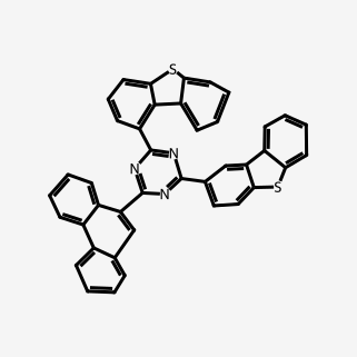 c1ccc2c(c1)cc(-c1nc(-c3ccc4sc5ccccc5c4c3)nc(-c3cccc4sc5ccccc5c34)n1)c1ccccc12